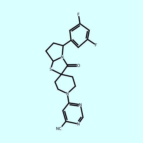 N#Cc1cc(N2CCC3(CC2)SC2CCC(c4cc(F)cc(F)c4)N2C3=O)ncn1